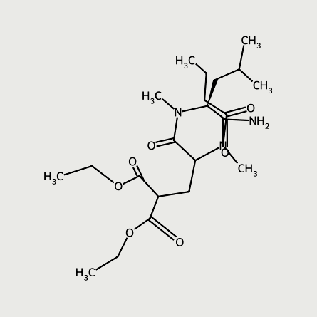 CCCC(=O)N(C)C(CC(C(=O)OCC)C(=O)OCC)C(=O)N(C)[C@@H](CC(C)C)C(N)=O